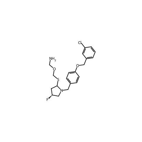 NCOCSC1C[C@H](F)CN1Cc1ccc(OCc2cccc(Cl)c2)cc1